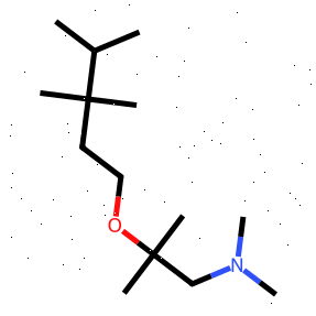 CC(C)C(C)(C)CCOC(C)(C)CN(C)C